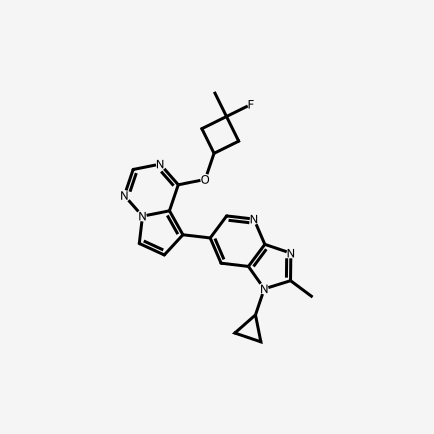 Cc1nc2ncc(-c3ccn4ncnc(OC5CC(C)(F)C5)c34)cc2n1C1CC1